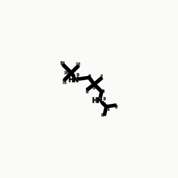 CC(C)NCC(C)(C)CNC(C)(C)C